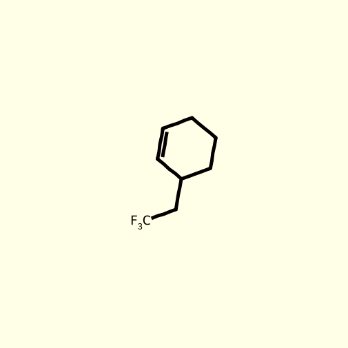 FC(F)(F)CC1C=CCCC1